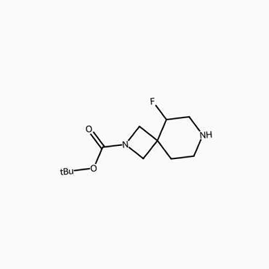 CC(C)(C)OC(=O)N1CC2(CCNCC2F)C1